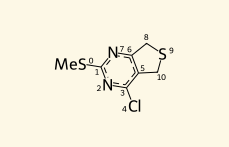 CSc1nc(Cl)c2c(n1)CSC2